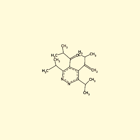 C=C(c1c(C(C)C)nnc(C(C)C)c1C(=O)C(C)C)C(C)C